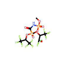 COP(=O)(NC(=O)P(=O)(OC(C(F)(F)F)C(F)(F)F)OC(C(F)(F)F)C(F)(F)F)OC